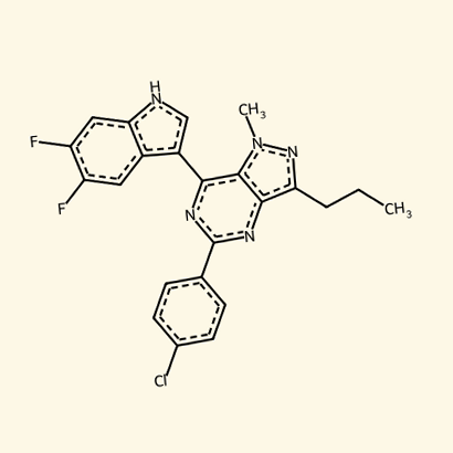 CCCc1nn(C)c2c(-c3c[nH]c4cc(F)c(F)cc34)nc(-c3ccc(Cl)cc3)nc12